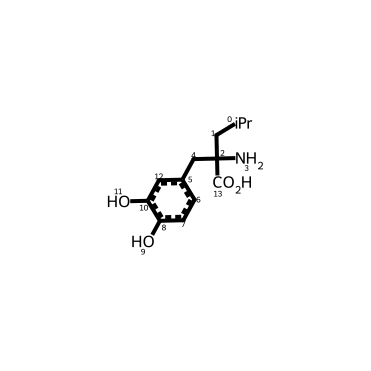 CC(C)CC(N)(Cc1ccc(O)c(O)c1)C(=O)O